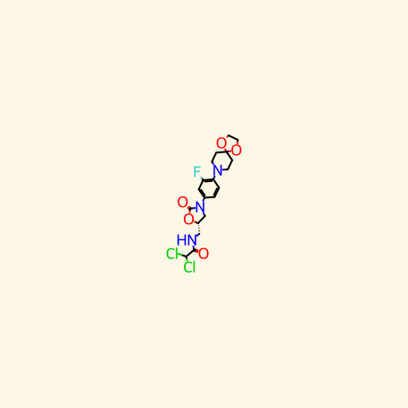 O=C(NC[C@H]1CN(c2ccc(N3CCC4(CC3)OCCO4)c(F)c2)C(=O)O1)C(Cl)Cl